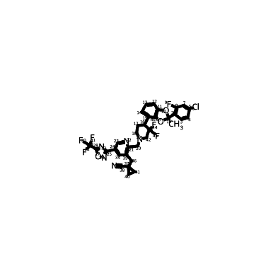 C[C@]1(c2ccc(Cl)cc2F)Oc2cccc(C3CCN(Cc4ncc(-c5noc(C(F)(F)F)n5)cc4CC4(C#N)CC4)CC3(F)F)c2O1